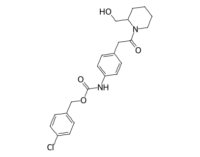 O=C(Nc1ccc(CC(=O)N2CCCCC2CO)cc1)OCc1ccc(Cl)cc1